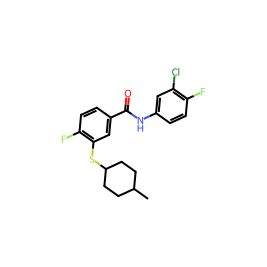 CC1CCC(Sc2cc(C(=O)Nc3ccc(F)c(Cl)c3)ccc2F)CC1